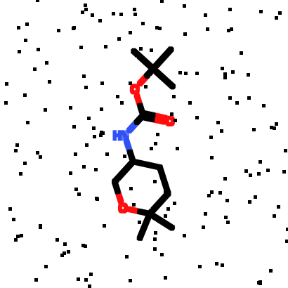 CC(C)(C)OC(=O)NC1CCC(C)(C)OC1